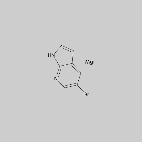 Brc1cnc2[nH]ccc2c1.[Mg]